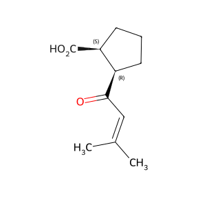 CC(C)=CC(=O)[C@@H]1CCC[C@@H]1C(=O)O